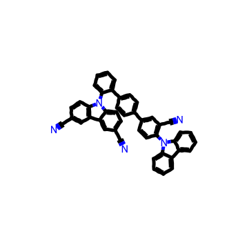 N#Cc1ccc2c(c1)c1cc(C#N)ccc1n2-c1ccccc1-c1ccc(-c2ccc(-n3c4ccccc4c4ccccc43)c(C#N)c2)cc1